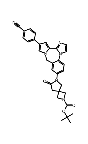 CC(C)(C)OC(=O)N1CC2(CC(=O)N(c3ccc4c(c3)Cn3cc(-c5ccc(C#N)cc5)cc3-c3nccn3-4)C2)C1